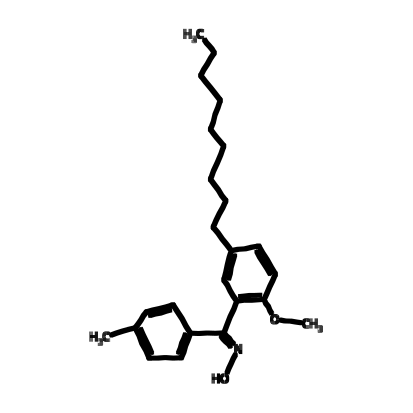 CCCCCCCCCc1ccc(OC)c(C(=NO)c2ccc(C)cc2)c1